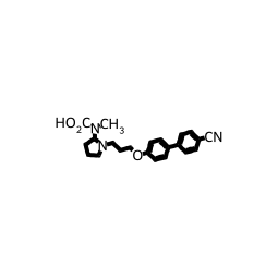 CN(C(=O)O)C1CCCN1CCCOc1ccc(-c2ccc(C#N)cc2)cc1